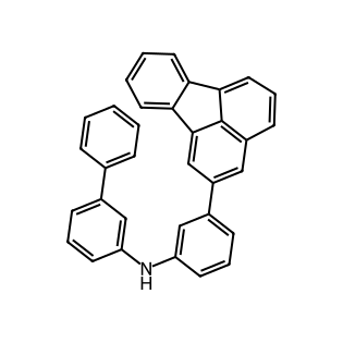 c1ccc(-c2cccc(Nc3cccc(-c4cc5c6c(cccc6c4)-c4ccccc4-5)c3)c2)cc1